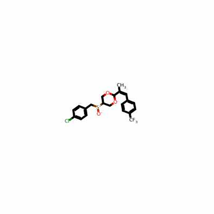 C/C(=C/c1ccc(C(F)(F)F)cc1)C1OCC([S+]([O-])Cc2ccc(Cl)cc2)CO1